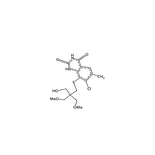 COCC(CO)(COC)CSc1c(Cl)c(C)cc2c(=O)[nH]c(=O)[nH]c12